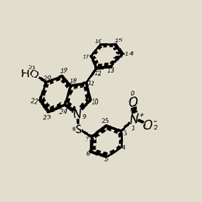 O=[N+]([O-])c1cccc(Sn2cc(-c3ccccc3)c3cc(O)ccc32)c1